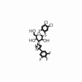 OCC1O[C@H](Sc2cc(Cl)c(Cl)cc2F)C(O)[C@@H](n2cc(-c3cc(F)c(F)c(F)c3)nn2)[C@H]1O